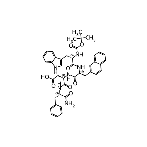 CC(C)(C)OC(=O)N[C@@H](Cc1c[nH]c2ccccc12)C(=O)N[C@@H](Cc1ccc2ccccc2c1)C(=O)N[C@H](CC(=O)O)C(=O)N[C@@H](Cc1ccccc1)C(N)=O